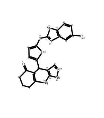 O=C1CCCC2=C1C(c1ccc(Sc3nc4cc(C(F)(F)F)ccc4[nH]3)o1)c1cn[nH]c1N2